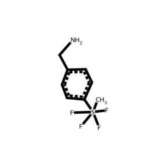 CS(F)(F)(F)(F)c1ccc(CN)cc1